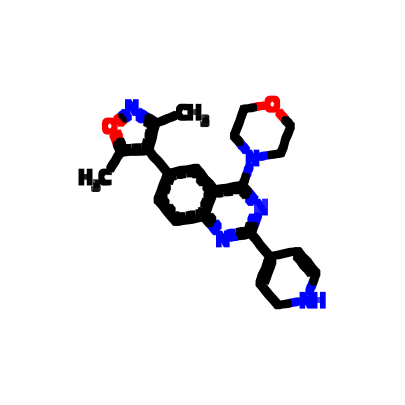 Cc1noc(C)c1-c1ccc2nc(C3=CCNC=C3)nc(N3CCOCC3)c2c1